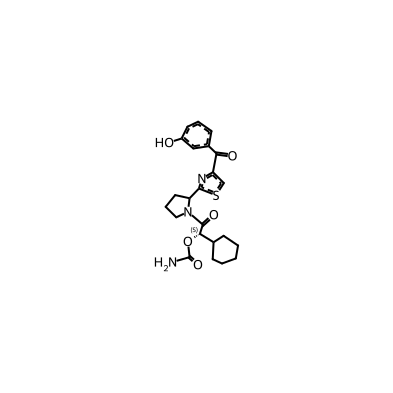 NC(=O)O[C@H](C(=O)N1CCCC1c1nc(C(=O)c2cccc(O)c2)cs1)C1CCCCC1